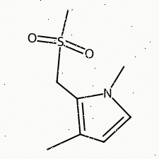 [CH2]S(=O)(=O)Cc1c(C)ccn1C